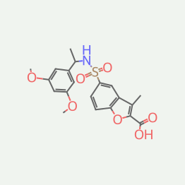 COc1cc(OC)cc(C(C)NS(=O)(=O)c2ccc3oc(C(=O)O)c(C)c3c2)c1